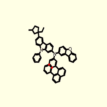 CCC1(c2ccc3c(c2)c2ccc(N(c4cccc(-c5cccc6cccc(-c7ccccc7)c56)c4)c4ccc5oc6ccccc6c5c4)cc2n3-c2ccccc2)CCC(C)C1